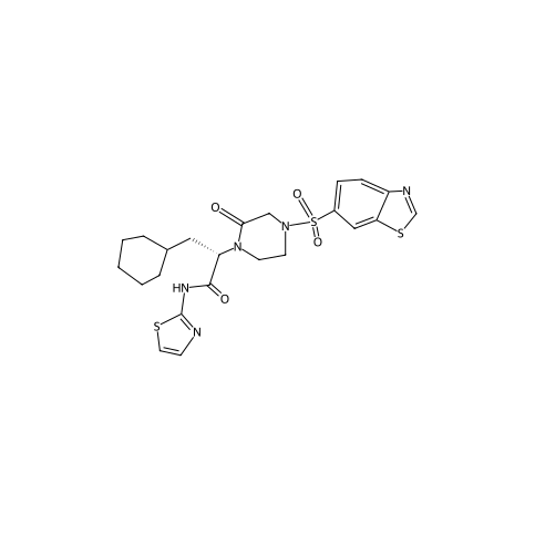 O=C(Nc1nccs1)[C@H](CC1CCCCC1)N1CCN(S(=O)(=O)c2ccc3ncsc3c2)CC1=O